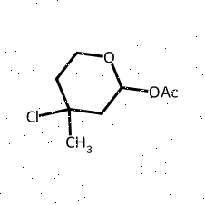 CC(=O)OC1CC(C)(Cl)CCO1